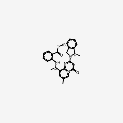 Cc1cc([C@@H](C)Nc2ccccc2C(=O)OC(C)(C)C)c2nc(N3Cc4ccccc4[C@H]3C)cc(=O)n2c1